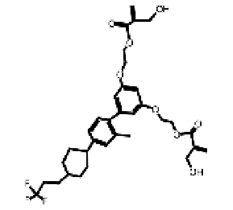 C=C(CO)C(=O)OCCOc1cc(OCCOC(=O)C(=C)CO)cc(-c2ccc(C3CCC(CCC(F)(F)F)CC3)cc2C)c1